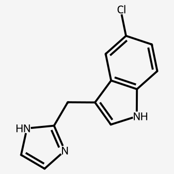 Clc1ccc2[nH]cc(Cc3ncc[nH]3)c2c1